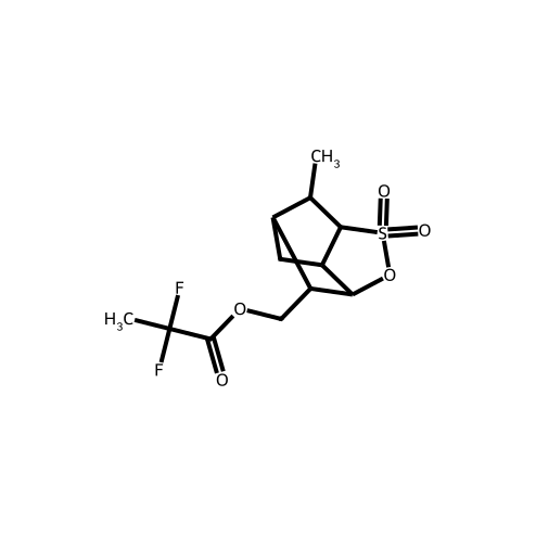 CC1C2CC3C(OS(=O)(=O)C13)C2COC(=O)C(C)(F)F